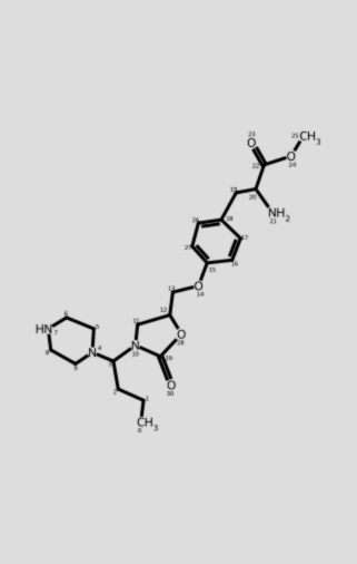 CCCC(N1CCNCC1)N1CC(COc2ccc(CC(N)C(=O)OC)cc2)OC1=O